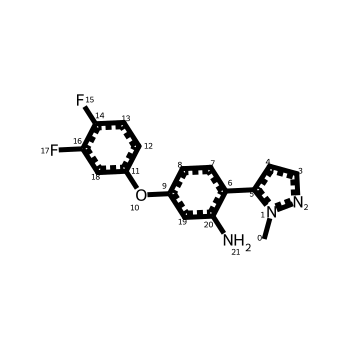 Cn1nccc1-c1ccc(Oc2ccc(F)c(F)c2)cc1N